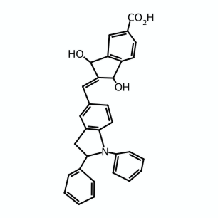 O=C(O)c1ccc2c(c1)C(O)C(=Cc1ccc3c(c1)CC(c1ccccc1)N3c1ccccc1)C2O